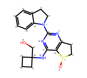 [O-][S@+]1CCc2nc(N3CCc4ccccc43)nc(NC3(CO)CCC3)c21